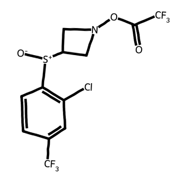 O=C(ON1CC([S+]([O-])c2ccc(C(F)(F)F)cc2Cl)C1)C(F)(F)F